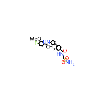 COc1cc([C@@H](C)NC2CC[C@H](c3ccc(C(=O)NCCS(N)(=O)=O)cc3)C2)ccc1F